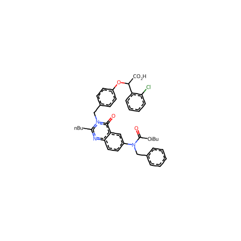 CCCCc1nc2ccc(N(Cc3ccccc3)C(=O)OCC(C)C)cc2c(=O)n1Cc1ccc(OC(C(=O)O)c2ccccc2Cl)cc1